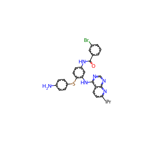 CC(C)c1ccc2c(Nc3cc(NC(=O)c4cccc(Br)c4)ccc3Sc3ccc(N)cc3)ncnc2n1